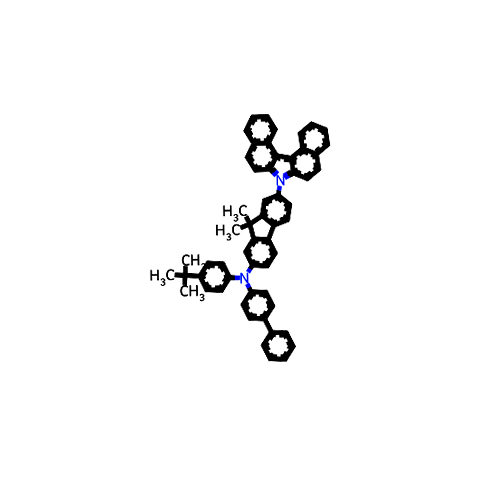 CC(C)(C)c1ccc(N(c2ccc(-c3ccccc3)cc2)c2ccc3c(c2)C(C)(C)c2cc(-n4c5ccc6ccccc6c5c5c6ccccc6ccc54)ccc2-3)cc1